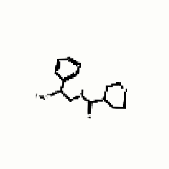 CCOC(=O)C(CNC(=O)C1CCOCC1)c1ccccc1